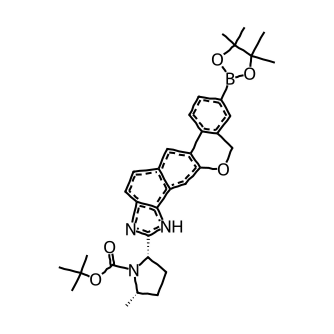 C[C@H]1CC[C@@H](c2nc3ccc4cc5c(cc4c3[nH]2)OCc2cc(B3OC(C)(C)C(C)(C)O3)ccc2-5)N1C(=O)OC(C)(C)C